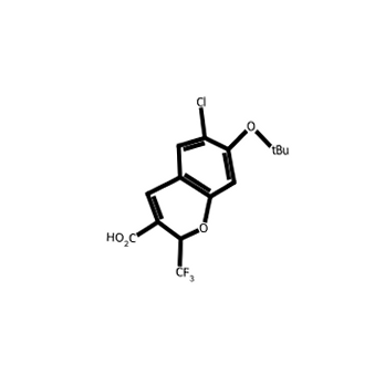 CC(C)(C)Oc1cc2c(cc1Cl)C=C(C(=O)O)C(C(F)(F)F)O2